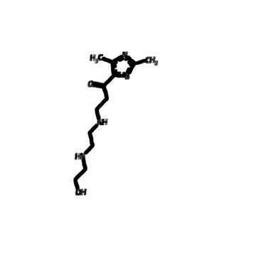 Cc1nc(C)c(C(=O)CCNCCNCCO)s1